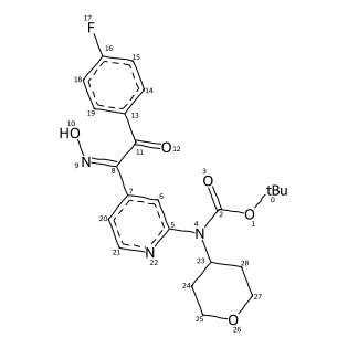 CC(C)(C)OC(=O)N(c1cc(/C(=N/O)C(=O)c2ccc(F)cc2)ccn1)C1CCOCC1